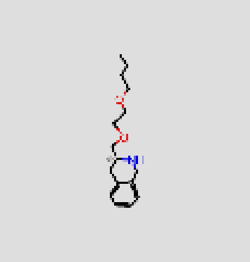 CCCCOCCOC[C@@H]1Cc2ccccc2CN1